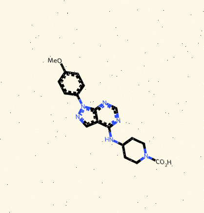 COc1ccc(-n2ncc3c(NC4CCN(C(=O)O)CC4)ncnc32)cc1